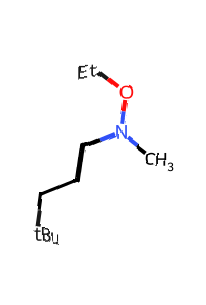 CCON(C)CCCC(C)(C)C